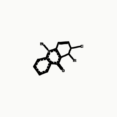 CCC1c2c(n(CC)c3ccccc3c2=O)C=CC1Cl